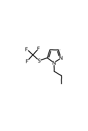 CCCn1n[c]cc1SC(F)(F)F